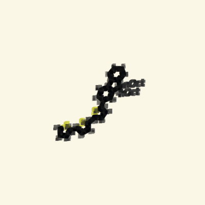 CCCCCCCCC1(CCCCCCCC)c2ccccc2-c2ccc(-c3ccc(-c4ccc(-c5cccs5)s4)s3)cc21